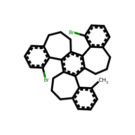 Cc1cccc2c1-c1c(c3c(c4c1CCCc1cccc(Br)c1-4)CCCc1cccc(Br)c1-3)CCC2